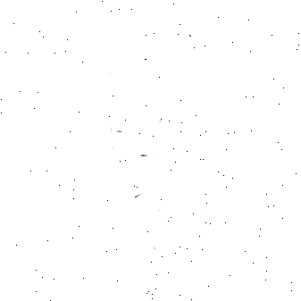 CC1C[C@H]2[C@@H]3CCC4=CC(=O)C5=C[C@]4(C)[C@H]3C(C[C@]2(C)[C@@]1(O)C(=O)CO)O5